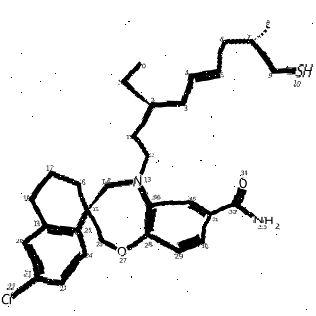 CC[C@@H](C/C=C/C[C@H](C)CS)CCN1C[C@@]2(CCCc3cc(Cl)ccc32)COc2ccc(C(N)=O)cc21